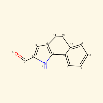 O=Cc1cc2c([nH]1)-c1ccccc1CC2